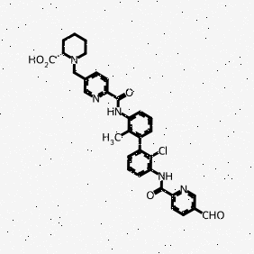 Cc1c(NC(=O)c2ccc(CN3CCCC[C@H]3C(=O)O)cn2)cccc1-c1cccc(NC(=O)c2ccc(C=O)cn2)c1Cl